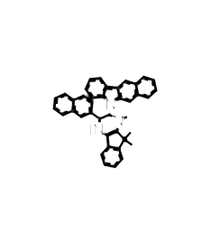 CN1C2=C(NC(c3ccc4ccccc4c3)[C@@H]1n1c3ccccc3c3cc4ccccc4cc31)c1ccccc1C2(C)C